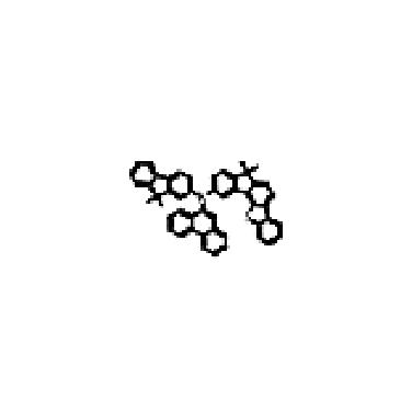 CC1(C)c2ccccc2-c2ccc(N(c3ccc4c(c3)-c3c(ccc5c3sc3ccccc35)C4(C)C)c3cc4ccccc4c4ccccc34)cc21